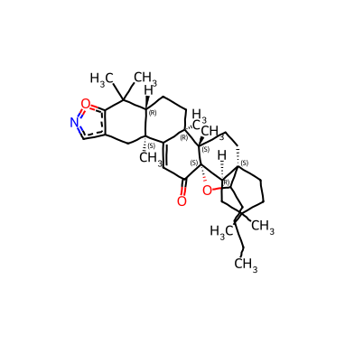 CCCCC1O[C@]23C(=O)C=C4[C@@]5(C)Cc6cnoc6C(C)(C)[C@@H]5CC[C@@]4(C)[C@]2(C)CC[C@]12CCC(C)(C)C[C@H]23